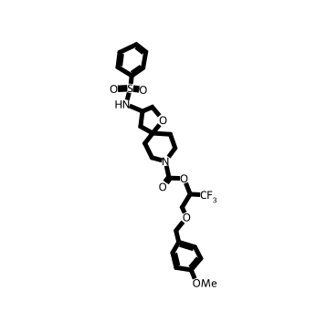 COc1ccc(COCC(OC(=O)N2CCC3(CC2)CC(NS(=O)(=O)c2ccccc2)CO3)C(F)(F)F)cc1